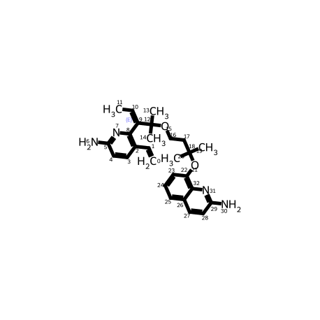 C=Cc1ccc(N)nc1/C(=C\C)C(C)(C)OCCC(C)(C)Oc1cccc2ccc(N)nc12